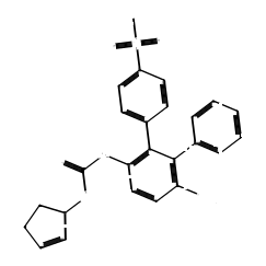 CS(=O)(=O)c1ccc(-c2c(NC(=O)OC3C=CCC3)ccc(C(=O)O)c2-c2ccccc2)cc1